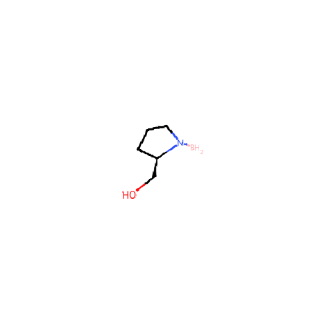 BN1CCC[C@@H]1CO